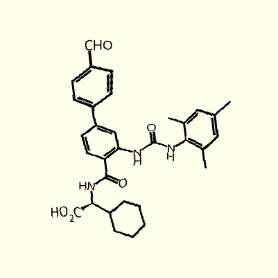 Cc1cc(C)c(NC(=O)Nc2cc(-c3ccc(C=O)cc3)ccc2C(=O)N[C@H](C(=O)O)C2CCCCC2)c(C)c1